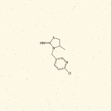 CC1CSC(=N)N1Cc1ccc(Cl)nc1